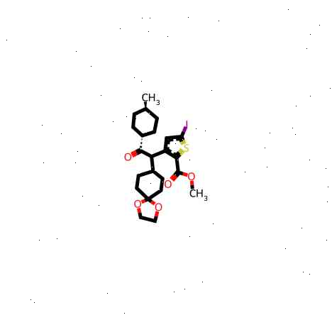 COC(=O)c1sc(I)cc1C(C(=O)[C@H]1CC[C@H](C)CC1)C1CCC2(CC1)OCCO2